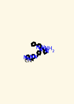 N#Cc1nccc(N2CCN(Cc3ccc(-n4c(-c5cccnc5N)nc5ccc(-c6ccccc6)nc54)cc3)CC23CC3)n1